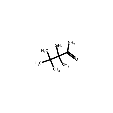 CC(C)(C)C([SiH3])([SiH3])C(N)=O